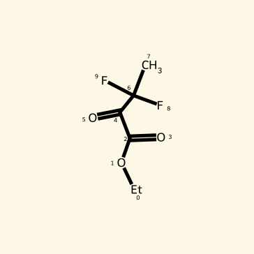 CCOC(=O)C(=O)C(C)(F)F